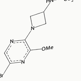 COc1nc(Br)cnc1N1CC(NC(=O)O)C1